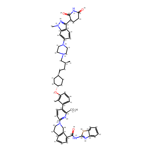 Cc1c(O[C@H]2CC[C@H](CC[C@H](C)CN3CCN(c4ccc5c(C6CCC(=O)NC6=O)nn(C)c5c4)CC3)CC2)cccc1-c1ccc(N2CCc3cccc(C(=O)Nc4nc5ccccc5s4)c3C2)nc1C(=O)O